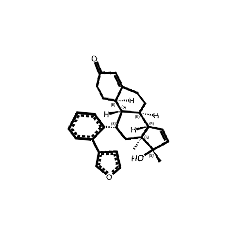 C[C@]1(O)C=C[C@H]2[C@@H]3CCC4=CC(=O)CC[C@@H]4[C@H]3[C@@H](c3ccccc3-c3ccoc3)C[C@@]21C